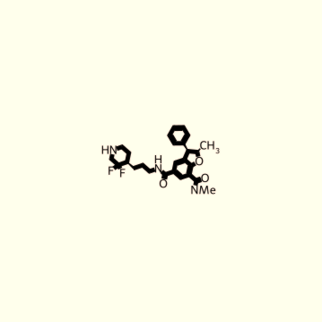 CNC(=O)c1cc(C(=O)NCCC[C@@H]2CCNCC2(F)F)cc2c1O[C@@H](C)[C@@H]2c1ccccc1